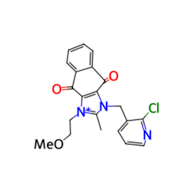 COCC[n+]1c2c(n(Cc3cccnc3Cl)c1C)C(=O)c1ccccc1C2=O